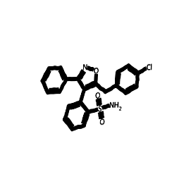 NS(=O)(=O)c1ccccc1-c1c(-c2ccccc2)noc1Cc1ccc(Cl)cc1